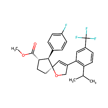 COC(=O)[C@H]1CC[C@@]2(C=C(c3cc(C(F)(F)F)ccc3C(C)C)CO2)[C@@H]1c1ccc(F)cc1